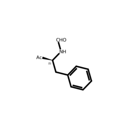 CC(=O)[C@H](Cc1ccccc1)NC=O